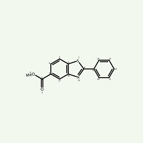 COC(=O)c1ccc2sc(-c3ccccc3)nc2c1